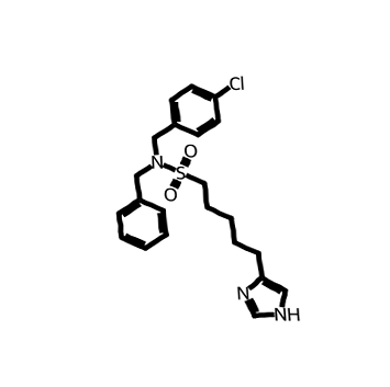 O=S(=O)(CCCCCc1c[nH]cn1)N(Cc1ccccc1)Cc1ccc(Cl)cc1